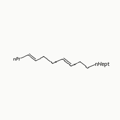 [CH2]CCCCCCCCC=CCCC=CCCC